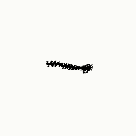 CC/C=C/C/C=C/C/C=C/C/C=C/C/C=C/CCC/C=C/C(=O)OC(C)(C)C